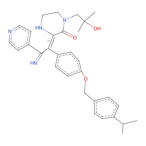 CC(C)c1ccc(COc2ccc(/C(C(=N)c3ccncc3)=C3/NCCN(CC(C)(C)O)C3=O)cc2)cc1